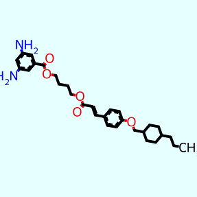 CCCC1CCC(COc2ccc(C=CC(=O)OCCCCOC(=O)c3cc(N)cc(N)c3)cc2)CC1